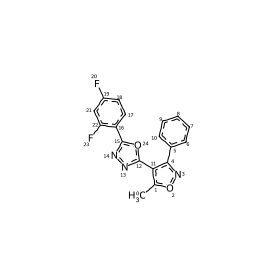 Cc1onc(-c2ccccc2)c1-c1nnc(-c2ccc(F)cc2F)o1